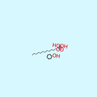 CCCCCCCCCCCCOP(=O)(O)O.Oc1ccccc1